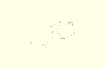 CCC1CC2=CCC1C2